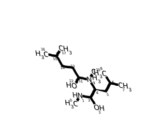 CNC(O)[C@H](CC(C)C)N(C)C(O)CCC(C)C